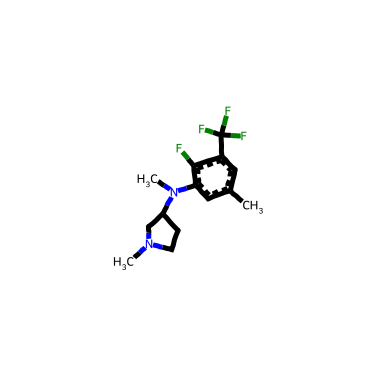 Cc1cc(N(C)C2CCN(C)C2)c(F)c(C(F)(F)F)c1